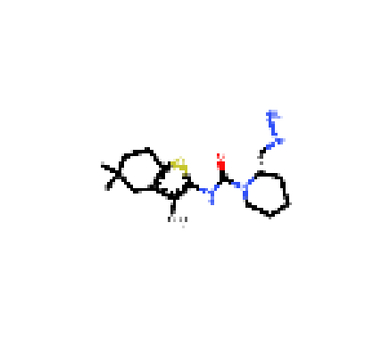 CC1(C)CCc2sc(NC(=O)N3CCCC[C@H]3CNN)c(C(=O)O)c2C1